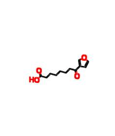 O=C(O)CCCCCCC(=O)c1ccoc1